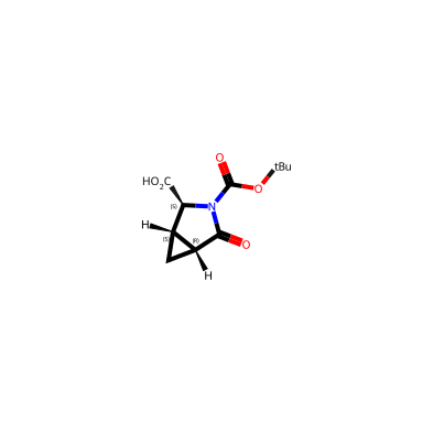 CC(C)(C)OC(=O)N1C(=O)[C@@H]2C[C@@H]2[C@H]1C(=O)O